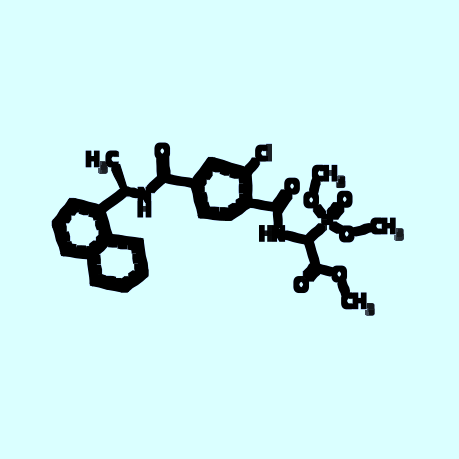 COC(=O)C(NC(=O)c1ccc(C(=O)N[C@H](C)c2cccc3ccccc23)cc1Cl)P(=O)(OC)OC